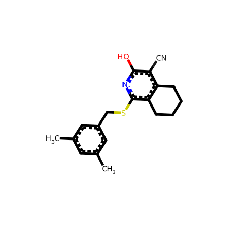 Cc1cc(C)cc(CSc2nc(O)c(C#N)c3c2CCCC3)c1